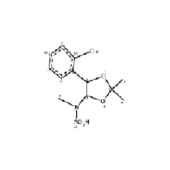 CN(C1OC(C)(C)OC1c1ccncc1Cl)S(=O)(=O)O